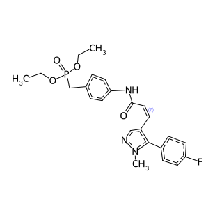 CCOP(=O)(Cc1ccc(NC(=O)/C=C\c2cnn(C)c2-c2ccc(F)cc2)cc1)OCC